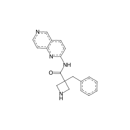 O=C(Nc1ccc2cnccc2n1)C1(Cc2ccccc2)CNC1